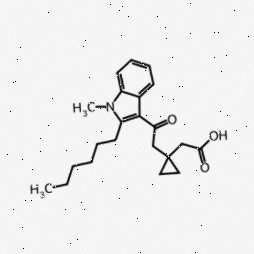 CCCCCCc1c(C(=O)CC2(CC(=O)O)CC2)c2ccccc2n1C